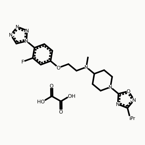 CC(C)c1noc(N2CCC(N(C)CCOc3ccc(-n4cnnn4)c(F)c3)CC2)n1.O=C(O)C(=O)O